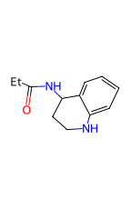 CCC(=O)NC1CCNc2ccccc21